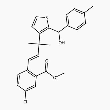 COC(=O)c1cc(Cl)ccc1C=CC(C)(C)c1ccsc1C(O)c1ccc(C)cc1